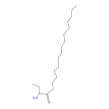 C=C(CCCCCCCCCCCCCCC)C(N)CC